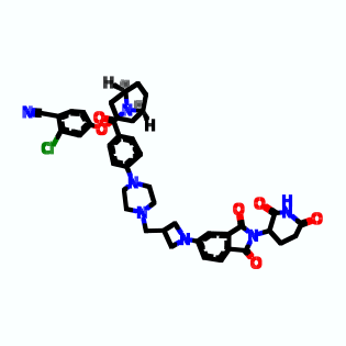 N#Cc1ccc(OC2C[C@H]3CC[C@@H](C2)N3C(=O)c2ccc(N3CCN(CC4CN(c5ccc6c(c5)C(=O)N(C5CCC(=O)NC5=O)C6=O)C4)CC3)cc2)cc1Cl